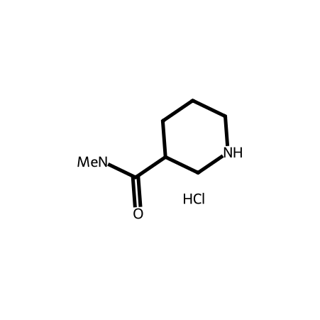 CNC(=O)C1CCCNC1.Cl